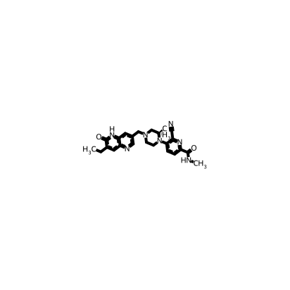 CCc1cc2ncc(CN3CCN(c4ccc(C(=O)NC)nc4C#N)[C@H](C)C3)cc2[nH]c1=O